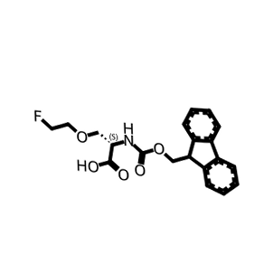 O=C(N[C@@H](COCCF)C(=O)O)OCC1c2ccccc2-c2ccccc21